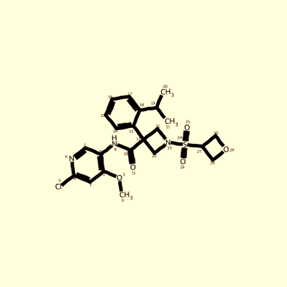 COc1cc(Cl)ncc1NC(=O)C1(c2ccccc2C(C)C)CN(S(=O)(=O)C2COC2)C1